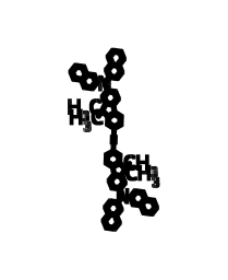 CC1(C)c2cc(C#Cc3ccc4c(c3)C(C)(C)c3cc(N(c5ccc6ccccc6c5)c5ccc6ccccc6c5)ccc3-4)ccc2-c2ccc(N(c3ccc4ccccc4c3)c3ccc4ccccc4c3)cc21